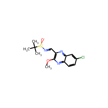 COc1nc2ccc(Cl)cc2nc1/C=N/[S+]([O-])C(C)(C)C